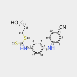 N#Cc1ccc(Nc2ccc(NC(=S)SCCC(=O)O)cc2)cc1